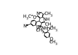 CCOc1ncc(C)c2c1C(c1ccc(C#N)cc1OC)C(C(=O)NCc1ccc(OC)cc1OC)=C(C)N2